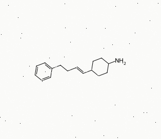 NC1CCC(C=CCCc2ccccc2)CC1